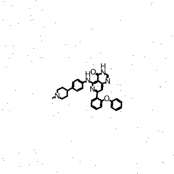 CN1CCC(c2ccc(Nc3nc(-c4ccccc4Oc4ccccc4)cc4nc[nH]c(=O)c34)cc2)CC1